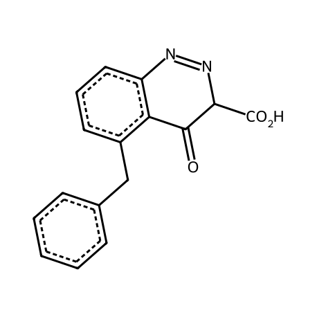 O=C(O)C1N=Nc2cccc(Cc3ccccc3)c2C1=O